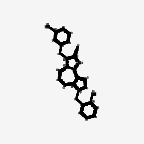 O=c1nc2c3ncn(Cc4ccccc4O)c3ncnc-2n1Cc1cccc(O)c1